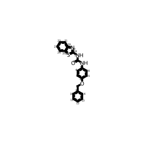 O=C(Nc1ccc(OCc2ccccc2)cc1)Nc1nc2ccccc2s1